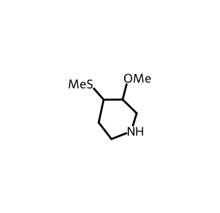 COC1CNCCC1SC